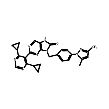 Cc1cc(C(F)(F)F)nn1-c1ccc(Cn2c(=O)[nH]c3cnc(-c4c(C5CC5)ncnc4C4CC4)nc32)cc1